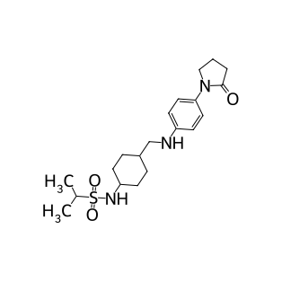 CC(C)S(=O)(=O)NC1CCC(CNc2ccc(N3CCCC3=O)cc2)CC1